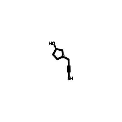 O[C@@H]1CCN(CC#CS)C1